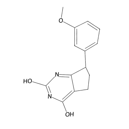 COc1cccc(C2CCc3c(O)nc(O)nc32)c1